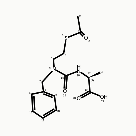 CC(=O)SCCN(Cc1ccccc1)C(=O)N[C@@H](C)C(=O)O